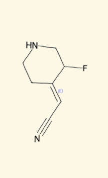 N#C/C=C1\CCNCC1F